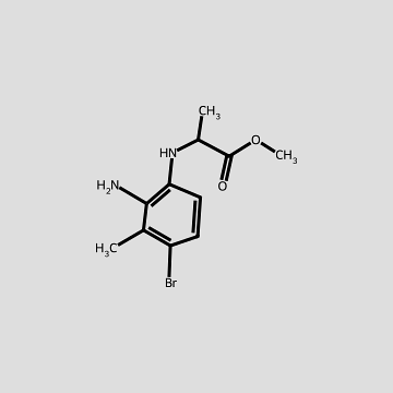 COC(=O)C(C)Nc1ccc(Br)c(C)c1N